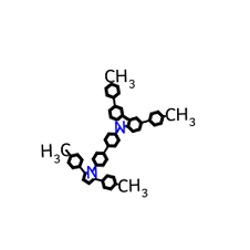 Cc1ccc(-c2ccc3c(c2)c2cc(-c4ccc(C)cc4)ccc2n3-c2ccc(-c3ccc(-n4c(-c5ccc(C)cc5)ccc4-c4ccc(C)cc4)cc3)cc2)cc1